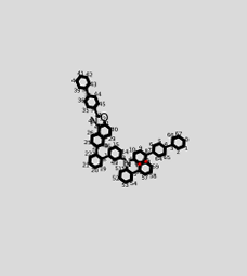 c1ccc(-c2ccc(-c3ccc(N(c4cccc(-c5ccccc5-c5ccc6c(ccc7oc(-c8ccc(-c9ccccc9)cc8)nc76)c5)c4)c4ccccc4-c4ccccc4)cc3)cc2)cc1